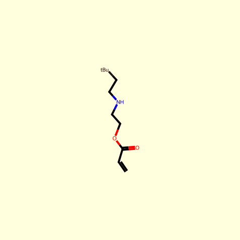 C=CC(=O)OCCNCCC(C)(C)C